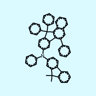 CC1(C)c2ccccc2-c2ccc(N(c3ccccc3)c3ccc4c(c3)-c3c(-c5ccccc5)cc5ccccc5c3C4(c3ccccc3)c3ccccc3)cc21